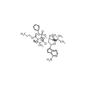 CCCOC(=O)[C@H](C)NP(=O)(OC[C@@](C#N)(OC)[C@@H](OC(=O)C(C)C)[C@@H](OC(=O)C(C)C)c1ccc2c(N)ncnn12)Oc1ccccc1